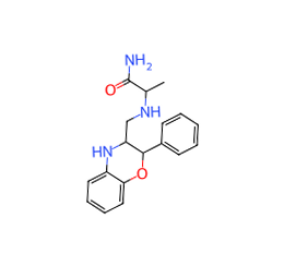 CC(NCC1Nc2ccccc2OC1c1ccccc1)C(N)=O